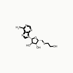 Nc1ncnc2c1ncn2[C@@H]1O[C@H](CSCCO)[C@H](O)[C@H]1O